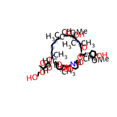 CO[C@@H]1C[C@H](C[C@@H](C)[C@@H]2CC(=O)[C@H](C)/C=C(\C)[C@@H](O)[C@@H](OC)C(=O)[C@H](C)C[C@H](C)/C=C/C=C/C=C(\C)[C@@H](O[C@@H]3CO[C@H]4[C@@H]3OC[C@@H]4OCCO)C[C@@H]3CC[C@@H](C)[C@@](O)(O3)C(=O)C(=O)N3CCCC[C@H]3C(=O)O2)CC[C@H]1O